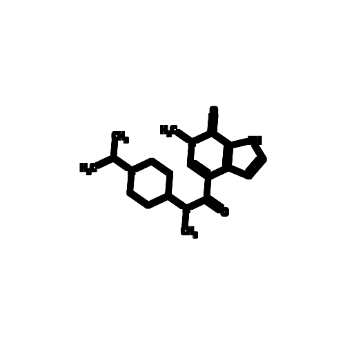 CC(C)N1CCC(N(C)C(=O)c2cn(C)c(=O)c3[nH]ccc23)CC1